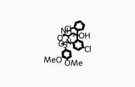 COc1ccc([S+]([O-])N2c3ccc(Cl)cc3C(O)(c3ccccc3Cl)CC2C(N)=O)cc1OC